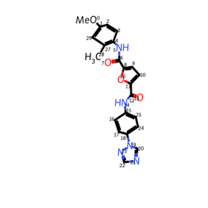 COc1ccc(NC(=O)c2ccc(C(=O)Nc3ccc(-n4cncn4)cc3)o2)c(C)c1